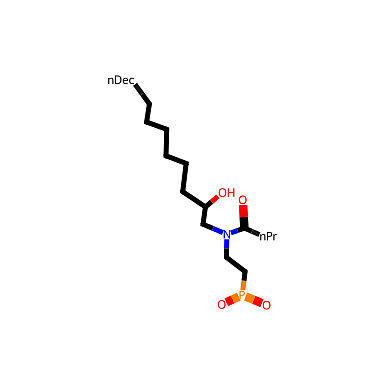 CCCCCCCCCCCCCCCCC(O)CN(CCP(=O)=O)C(=O)CCC